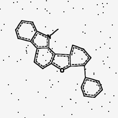 Cn1c2ccccc2c2ccc3oc4c(-c5ccccc5)cccc4c3c21